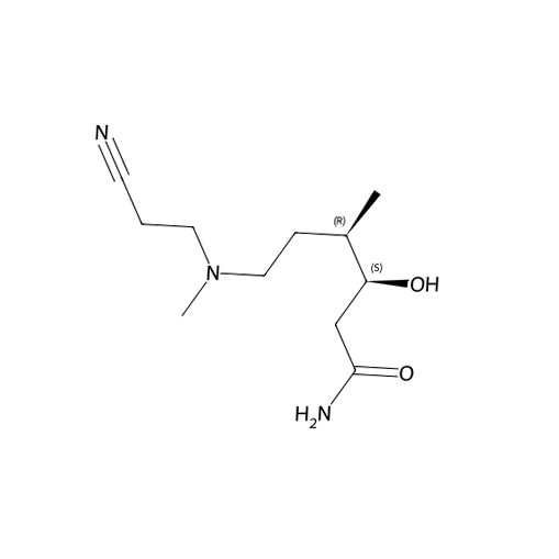 C[C@H](CCN(C)CCC#N)[C@@H](O)CC(N)=O